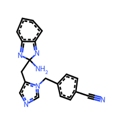 N#Cc1ccc(Cn2cncc2CC2(N)N=c3ccccc3=N2)cc1